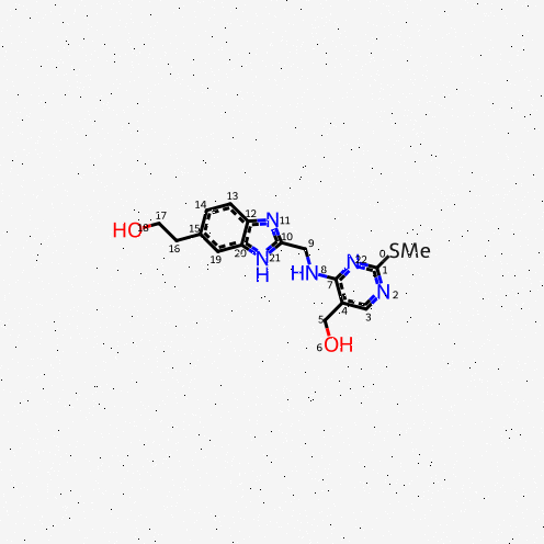 CSc1ncc(CO)c(NCc2nc3ccc(CCO)cc3[nH]2)n1